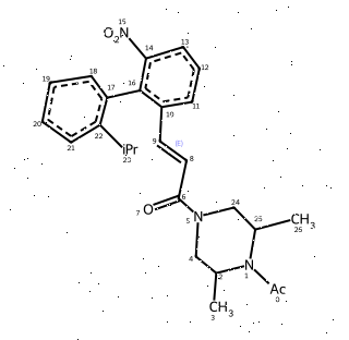 CC(=O)N1C(C)CN(C(=O)/C=C/c2cc[c]c([N+](=O)[O-])c2-c2ccccc2C(C)C)CC1C